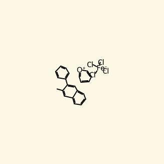 Cc1cc2ccccc2cc1-c1ccccc1.[Cl][Fe-]([Cl])([Cl])[Cl].c1cc[o+]cc1